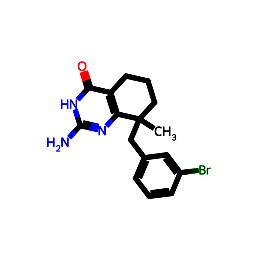 CC1(Cc2cccc(Br)c2)CCCc2c1nc(N)[nH]c2=O